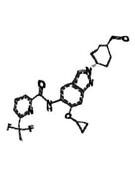 CC(F)(F)c1cccc(C(=O)Nc2cc3cn([C@H]4CC[C@H](C=O)CC4)nc3cc2OC2CC2)n1